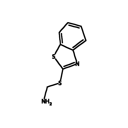 NCSc1nc2ccccc2s1